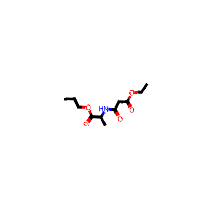 CCCOC(=O)C(C)NC(=O)CC(=O)OCC